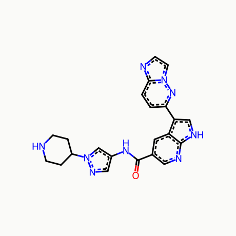 O=C(Nc1cnn(C2CCNCC2)c1)c1cnc2[nH]cc(-c3ccc4nccn4n3)c2c1